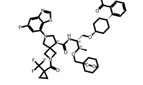 COC(=O)c1ccccc1[C@H]1CC[C@H](OC[C@@H](NC(=O)[C@@H]2CN(c3cc(F)cc4ncsc34)CC23CN(C(=O)C2(C(F)(F)F)CC2)C3)[C@@H](C)OCC23CCC(CC2)OC3)CC1